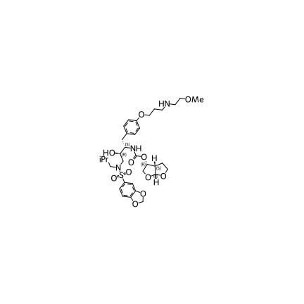 COCCNCCCOc1ccc(C[C@H](NC(=O)O[C@H]2CO[C@H]3OCC[C@H]32)[C@H](O)CN(CC(C)C)S(=O)(=O)c2ccc3c(c2)OCO3)cc1